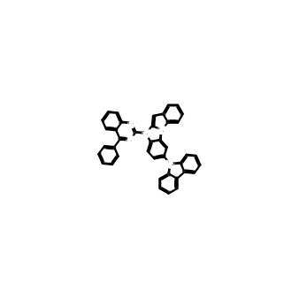 c1ccc(-c2nc(-n3c4ccc(-n5c6ccccc6c6ccccc65)cc4n4c5ccccc5cc34)nc3ccccc23)cc1